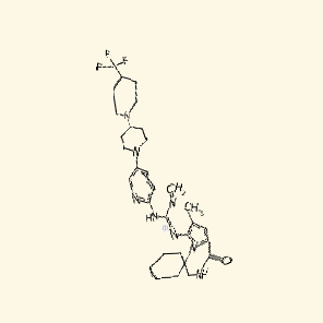 C=N/C(=N\c1c(C)cc2n1C1(CCCCC1)CNC2=O)Nc1ccc(N2CCC(N3CCC(C(F)(F)F)CC3)CC2)cn1